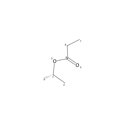 [CH2][C@@H](C)OC(=O)CC